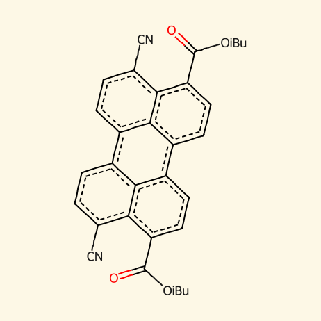 CC(C)COC(=O)c1ccc2c3ccc(C(=O)OCC(C)C)c4c(C#N)ccc(c5ccc(C#N)c1c52)c43